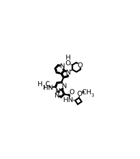 CNc1cc(-c2cn([C@@H]3CCOC[C@H]3O)c3ncccc23)nc2c(C(=O)N[C@H]3CC[C@@H]3OC)cnn12